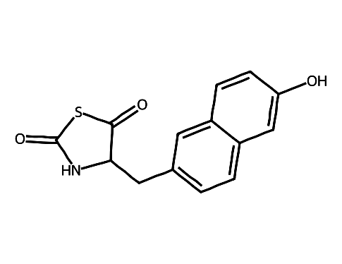 O=C1NC(Cc2ccc3cc(O)ccc3c2)C(=O)S1